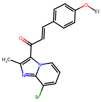 CCOc1ccc(/C=C/C(=O)c2c(C)nc3c(Br)cccn23)cc1